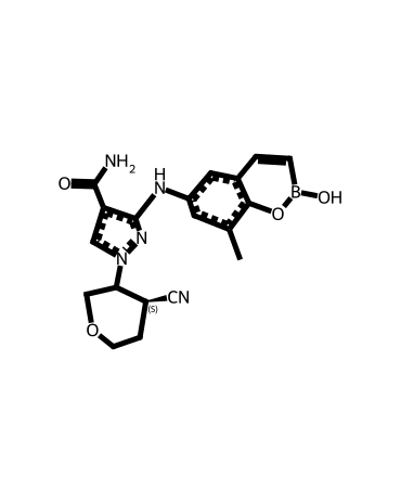 Cc1cc(Nc2nn(C3COCC[C@@H]3C#N)cc2C(N)=O)cc2c1OB(O)C=C2